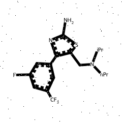 CCCN(Cc1sc(N)nc1-c1cc(F)cc(C(F)(F)F)c1)C(C)C